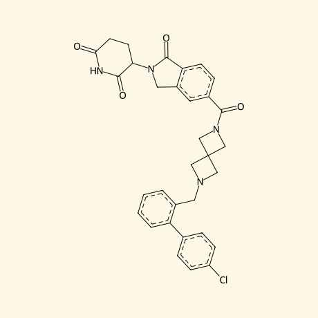 O=C1CCC(N2Cc3cc(C(=O)N4CC5(CN(Cc6ccccc6-c6ccc(Cl)cc6)C5)C4)ccc3C2=O)C(=O)N1